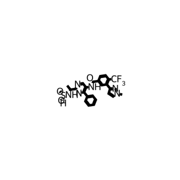 CC(N[SH](=O)=O)c1ncc(NC(=O)c2ccc(C(F)(F)F)c(-c3ccn(C)n3)c2)c(-c2ccccc2)n1